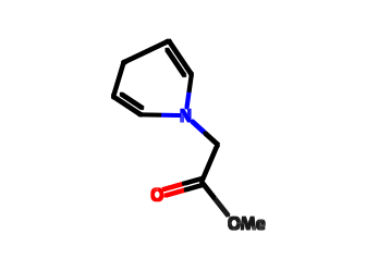 COC(=O)CN1C=CCC=C1